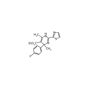 CCOC(=O)C1=C(C)NC(c2nccs2)=NC1(C)c1ccc(F)cc1